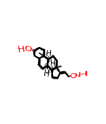 C[C@]12CC[C@H](O)CC1=CC[C@@H]1[C@@H]2CC[C@]2(C)C(=CCO)CC[C@@H]12